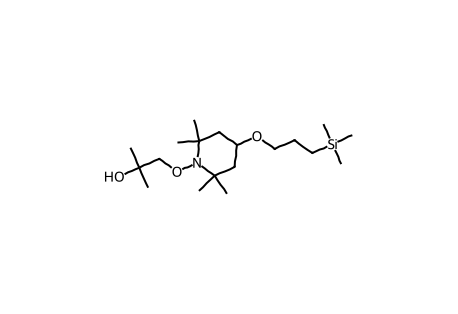 CC(C)(O)CON1C(C)(C)CC(OCCC[Si](C)(C)C)CC1(C)C